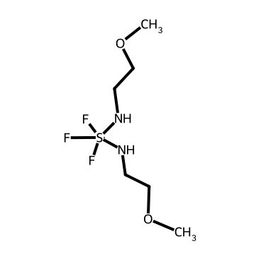 COCCN[S](F)(F)(F)NCCOC